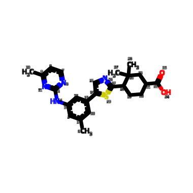 Cc1cc(Nc2nccc(C)n2)cc(-c2cnc(C3CCC(C(=O)O)CC3(C)C)s2)c1